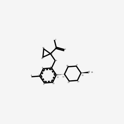 C=C(C)C1(Cc2cc(C)ccc2[C@H]2CC[C@H](F)CC2)CC1